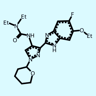 CCOc1cc2[nH]c(-c3nn(C4CCCCO4)cc3NC(=O)N(CC)CC)nc2cc1F